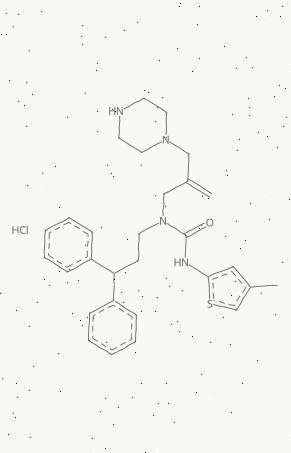 C=C(CN1CCNCC1)CN(CCC(c1ccccc1)c1ccccc1)C(=O)Nc1cc(C)cs1.Cl